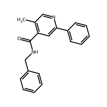 Cc1cnc(-c2ccccc2)cc1C(=O)NCc1ccccc1